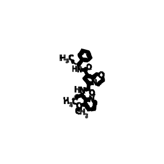 CCC(NC(=O)c1cc(C(=O)N[C@H](CC)c2ccccc2)c2n1CCOC2)c1ncccc1OC